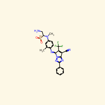 Cc1cc(N(C)C(CN)[SH](=O)=O)ccc1/N=C1\C(C(F)(F)F)=C(C#N)c2nc(-c3ccccc3)nn21